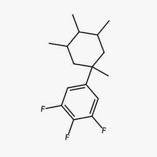 CC1CC(C)(c2cc(F)c(F)c(F)c2)CC(C)C1C